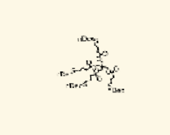 CCCCCCCCCCSCCCC(=O)OCC(COC(=O)CCCSCCCCCCCCCC)(COC(=O)CCCSCCCCCCCCCC)COC(=O)CCCSCCCCCCCCCC